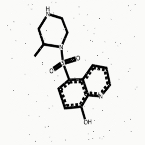 CC1CNCCN1S(=O)(=O)c1ccc(O)c2ncccc12